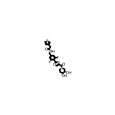 O=C(Cc1ccsc1)NCc1cc(F)c(-c2nc(C(=O)N3CC[C@H](O)[C@@H](O)C3)co2)c(F)c1